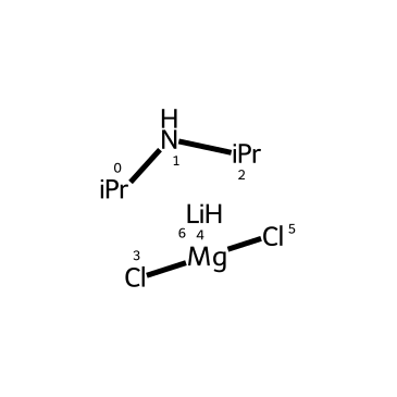 CC(C)NC(C)C.[Cl][Mg][Cl].[LiH]